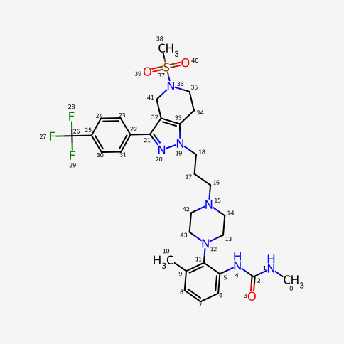 CNC(=O)Nc1cccc(C)c1N1CCN(CCCn2nc(-c3ccc(C(F)(F)F)cc3)c3c2CCN(S(C)(=O)=O)C3)CC1